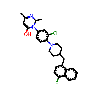 CC1=NC(C)N(c2ccc(N3CCC(Cc4ccc(F)c5ccccc45)CC3)c(Cl)c2)C(O)=C1